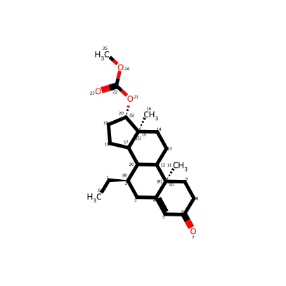 CC[C@@H]1CC2=CC(=O)CC[C@]2(C)C2CC[C@@]3(C)C(CC[C@@H]3OC(=O)OC)C21